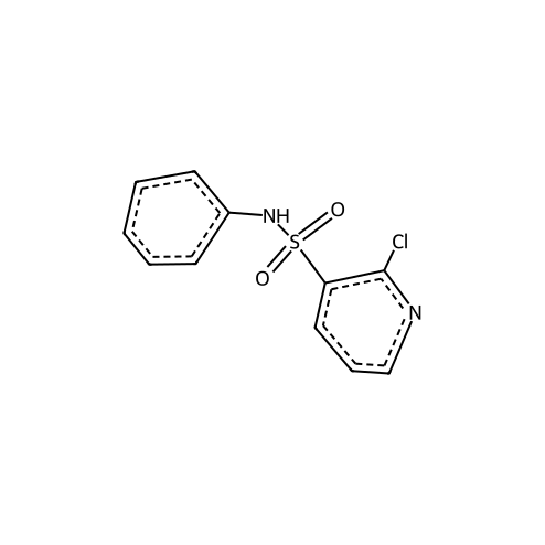 O=S(=O)(Nc1ccccc1)c1cccnc1Cl